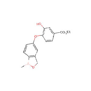 CCOC(=O)c1ccc(Oc2ccc3c(c2)COB3C)c(O)c1